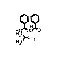 CC(C)C.O=C(O)c1ccccc1.O=C(O)c1ccccc1